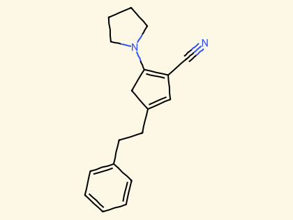 N#CC1=C(N2CCCC2)CC(CCc2ccccc2)=C1